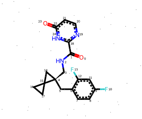 O=C(NC[C@]1(Cc2ccc(F)cc2F)CC12CC2)c1nccc(=O)[nH]1